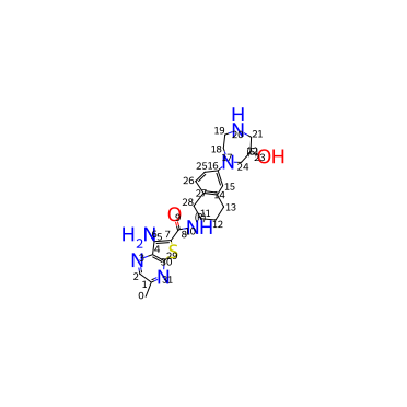 Cc1cnc2c(N)c(C(=O)N[C@@H]3CCc4cc(N5CCNC[C@H](O)C5)ccc4C3)sc2n1